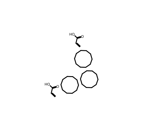 C1CCCCCCCCC1.C1CCCCCCCCC1.C1CCCCCCCCC1.C=CC(=O)O.C=CC(=O)O